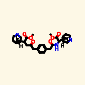 COC(=O)C(CC(=O)Cc1ccc(CC(=O)NC(C(=O)OC)[C@H]2CN3CCC2CC3)cc1)[C@H]1CN2CCC1CC2